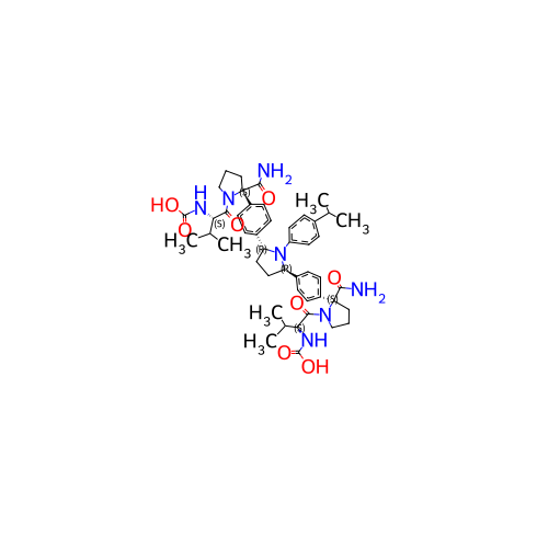 CC(C)c1ccc(N2[C@@H](c3ccc([C@]4(C(N)=O)CCCN4C(=O)[C@@H](NC(=O)O)C(C)C)cc3)CC[C@@H]2c2ccc([C@]3(C(N)=O)CCCN3C(=O)[C@@H](NC(=O)O)C(C)C)cc2)cc1